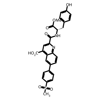 COC(=O)[C@H](Cc1ccc(O)cc1)NC(=O)c1cc(C(=O)O)c2cc(-c3ccc(S(C)(=O)=O)cc3)ccc2n1